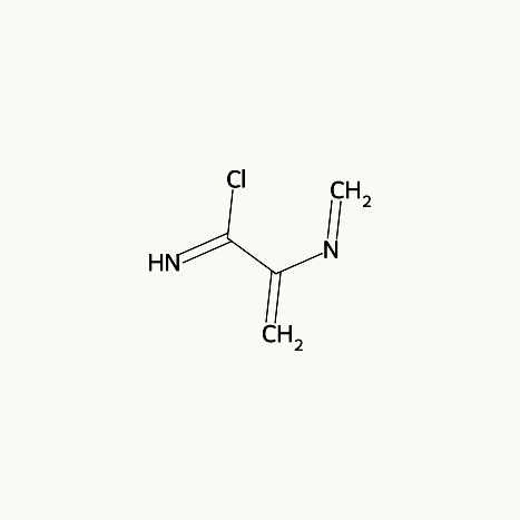 C=NC(=C)C(=N)Cl